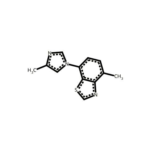 Cc1cn(-c2ccc(C)c3ncsc23)cn1